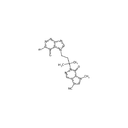 CC(C)n1nnc2ncn(CCC(C)(C)n3ncc4c(C#N)cn(C)c4c3=O)c2c1=O